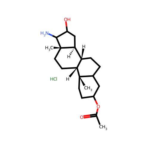 CC(=O)OC1CC[C@@]2(C)C(CC[C@@H]3[C@H]2CC[C@]2(C)C(N)C(O)C[C@@H]32)C1.Cl